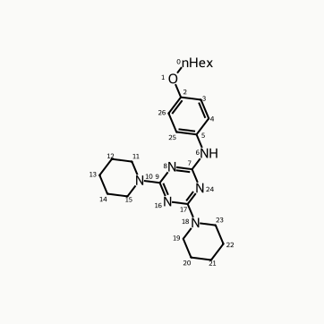 CCCCCCOc1ccc(Nc2nc(N3CCCCC3)nc(N3CCCCC3)n2)cc1